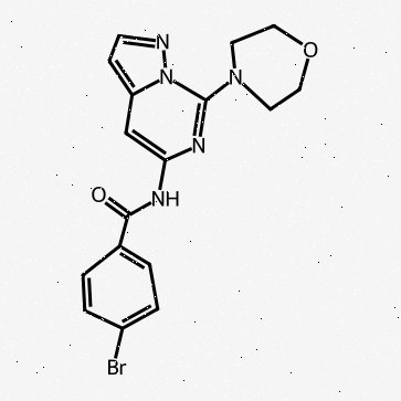 O=C(Nc1cc2ccnn2c(N2CCOCC2)n1)c1ccc(Br)cc1